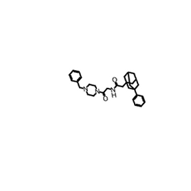 O=C(CC12CC3CC(C1)CC(c1ccccc1)(C3)C2)NCC(=O)N1CCN(Cc2ccccc2)CC1